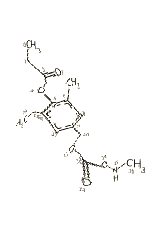 CCC(=O)Oc1c(C)cc(COC(=O)ONC)cc1C